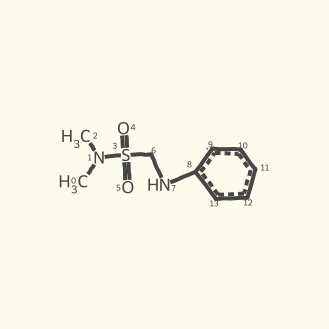 CN(C)S(=O)(=O)CNc1[c]cccc1